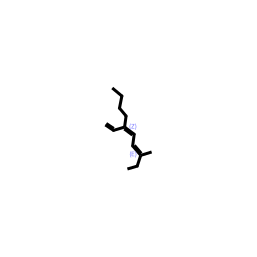 C=C/C(=C\C=C(/C)CC)CCCC